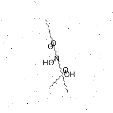 CCCCCCCCCCCOC(=O)CCCCCN(CCO)CCCCCCC(C(=O)O)C(CCCCCCCC)CCCCCCCC